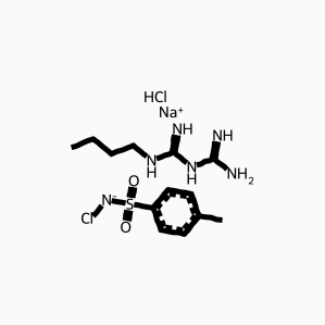 CCCCNC(=N)NC(=N)N.Cc1ccc(S(=O)(=O)[N-]Cl)cc1.Cl.[Na+]